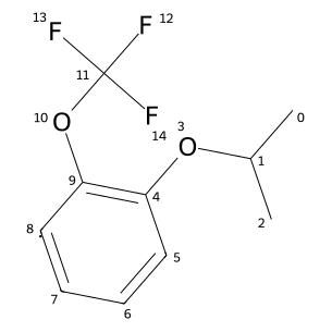 CC(C)Oc1ccc[c]c1OC(F)(F)F